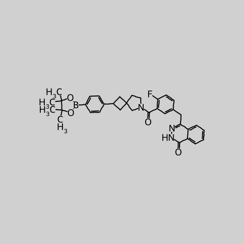 CC1(C)OB(c2ccc(C3CC4(CCN(C(=O)c5cc(Cc6n[nH]c(=O)c7ccccc67)ccc5F)C4)C3)cc2)OC1(C)C